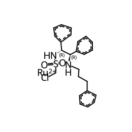 O=S(=O)(CCl)N[C@H](c1ccccc1)[C@H](NCCCc1ccccc1)c1ccccc1.[Ru+2]